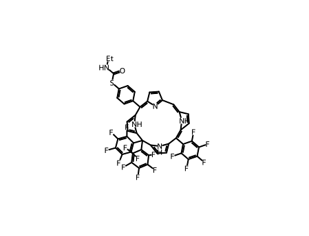 CCNC(=O)Sc1ccc(/C2=C3\C=CC(=N3)/C=c3/cc/c([nH]3)=C(\c3c(F)c(F)c(F)c(F)c3F)c3ccc([nH]3)C(c3c(F)c(F)c(F)c(F)c3F)(c3c(F)c(F)c(F)c(F)c3F)c3ccc2[nH]3)cc1